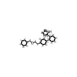 c1ccc(COCCc2ccc(-c3ccccc3-c3nnn[nH]3)cc2)cc1